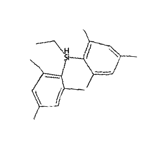 CC[SiH](c1c(C)cc(C)cc1C)c1c(C)cc(C)cc1C